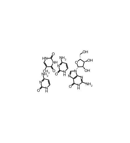 Cc1c[nH]c(=O)[nH]c1=O.Nc1cc[nH]c(=O)n1.Nc1cc[nH]c(=O)n1.Nc1nc2c(ncn2[C@@H]2O[C@H](CO)[C@@H](O)[C@H]2O)c(=O)[nH]1